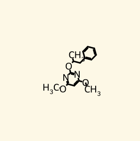 COc1cc(OC)nc(OC(C)Cc2ccccc2)n1